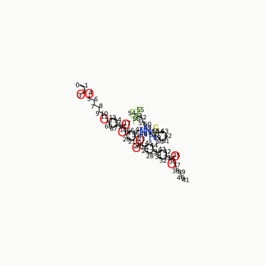 C=CC(=O)OCCCCCCOc1ccc(C(=O)Oc2ccc(OC(=O)c3ccc(-c4ccc(C(=O)OCCCCC)cc4)cc3)c(/C=N/N(CCCC(F)(F)F)c3nc4ccccc4s3)c2)cc1